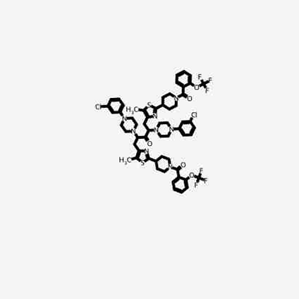 Cc1sc(C2CCN(C(=O)c3ccccc3OC(F)(F)F)CC2)nc1CC(C(=O)C(Cc1nc(C2CCN(C(=O)c3ccccc3OC(F)(F)F)CC2)sc1C)N1CCN(c2cccc(Cl)c2)CC1)N1CCN(c2cccc(Cl)c2)CC1